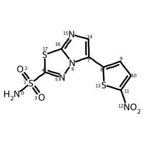 NS(=O)(=O)c1nn2c(-c3ccc([N+](=O)[O-])s3)cnc2s1